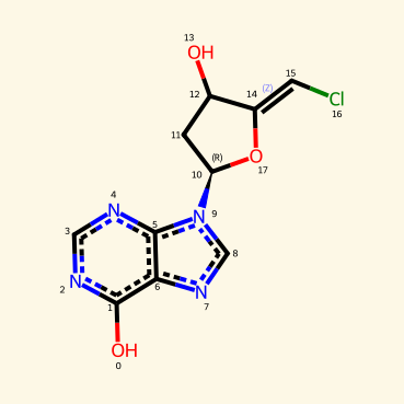 Oc1ncnc2c1ncn2[C@H]1CC(O)/C(=C/Cl)O1